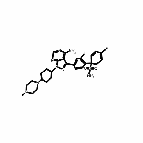 CN1CCN(C2CCC(n3nc(-c4ccc(C5(S(N)(=O)=O)C=CC(F)=CC5)c(F)c4)c4c(N)ncnc43)CC2)CC1